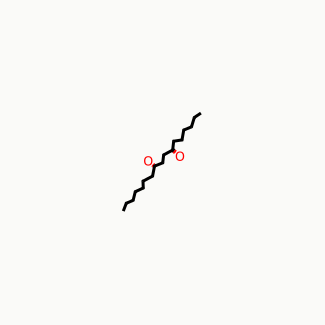 CCCCCCCC(=O)CCC(=O)CCCCCC